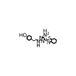 Nc1nc(NCCc2ccc(O)cc2)nn1-c1nc2ccccc2s1